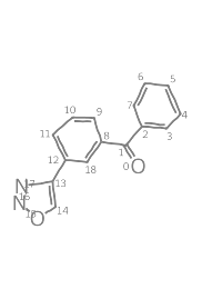 O=C(c1ccccc1)c1cccc(-c2conn2)c1